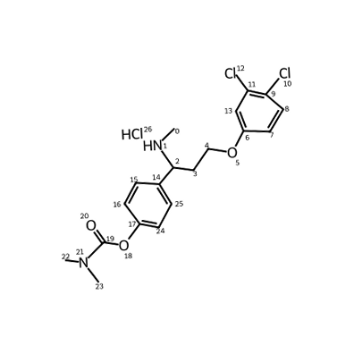 CNC(CCOc1ccc(Cl)c(Cl)c1)c1ccc(OC(=O)N(C)C)cc1.Cl